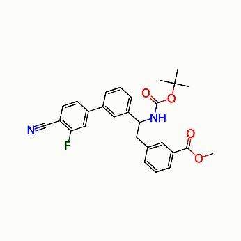 COC(=O)c1cccc(CC(NC(=O)OC(C)(C)C)c2cccc(-c3ccc(C#N)c(F)c3)c2)c1